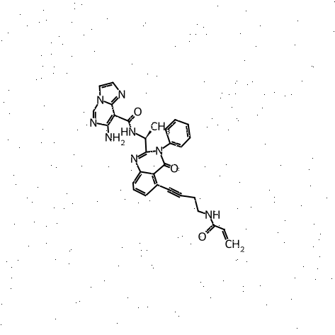 C=CC(=O)NCCC#Cc1cccc2nc([C@H](C)NC(=O)c3c(N)ncn4ccnc34)n(-c3ccccc3)c(=O)c12